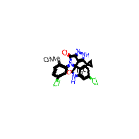 COc1ccc(Cl)cc1N1C(=O)c2n[nH]c(C3(C)CC3)c2C12C(=O)NC1=CC(Cl)CC=C12